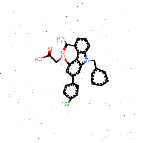 NC(=O)c1cccc2c1c1c(OCC(=O)O)cc(-c3ccc(Cl)cc3)cc1n2Cc1ccccc1